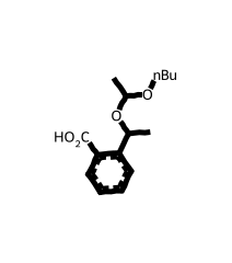 CCCCOC(C)OC(C)c1ccccc1C(=O)O